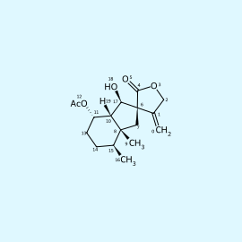 C=C1COC(=O)[C@]12C[C@@]1(C)[C@H]([C@@H](OC(C)=O)CC[C@@H]1C)[C@H]2O